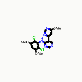 COc1cc(OC)c(Cl)c(Nc2ncncc2-c2cc(SC)ncn2)c1Cl